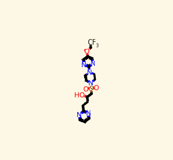 O=S(=O)(CC(O)CCc1ncccn1)N1CCN(c2ncc(OCC(F)(F)F)cn2)CC1